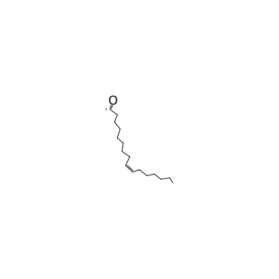 CCCCCC/C=C\CCCCCCC[C]=O